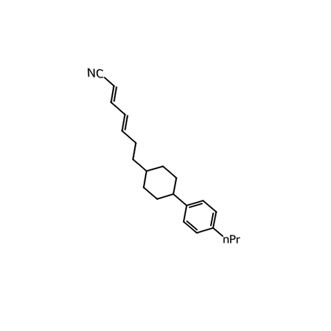 CCCc1ccc(C2CCC(CCC=CC=CC#N)CC2)cc1